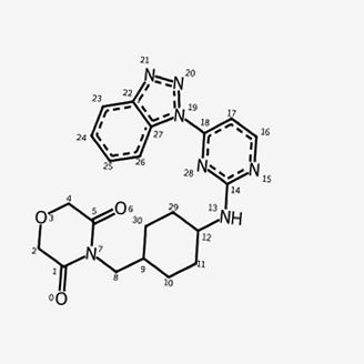 O=C1COCC(=O)N1CC1CCC(Nc2nccc(-n3nnc4ccccc43)n2)CC1